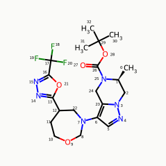 C[C@H]1Cn2ncc(N3COCCC(c4nnc(C(F)(F)F)o4)C3)c2CN1C(=O)OC(C)(C)C